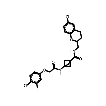 O=C(COc1ccc(Cl)c(F)c1)NC12CC(C(=O)NCC3CCc4cc(Cl)ccc4O3)(C1)C2